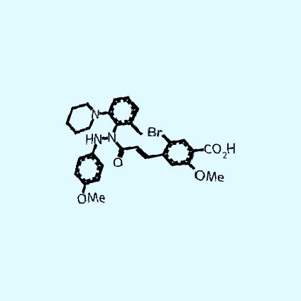 COc1ccc(NN(C(=O)/C=C/c2cc(OC)c(C(=O)O)cc2Br)c2c(C)cccc2N2CCCCC2)cc1